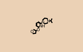 CC(C)N1CCCN(C2=[C]C=CC(OC3CCOC3)N2)CC1